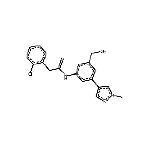 Cn1cc(-c2cc(CO)cc(NC(=O)Cc3ccccc3Cl)c2)cn1